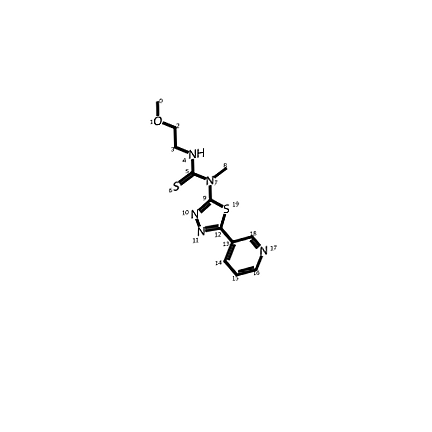 COCCNC(=S)N(C)c1nnc(-c2cccnc2)s1